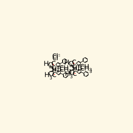 CC1=[C]([Hf]([C]2=C(C)C(c3ccccc3)=CC2C)=[Si](c2ccccc2)c2ccccc2)C(C)C=C1c1ccccc1.CC1=[C]([Hf]([C]2=C(C)C(c3ccccc3)=CC2C)=[Si](c2ccccc2)c2ccccc2)C(C)C=C1c1ccccc1.[Cl-].[Cl-]